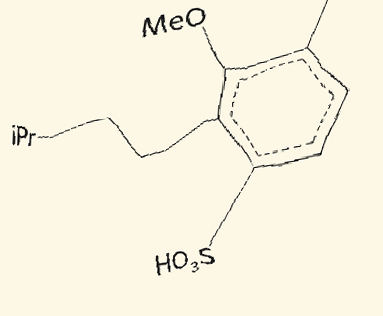 COc1c(C)ccc(S(=O)(=O)O)c1CCC(C)C